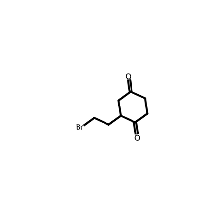 O=C1CCC(=O)C(CCBr)C1